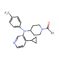 CCC(=O)N1CCC(N(c2ccc(C(F)(F)F)cc2)c2cnccc2C2CC2)CC1